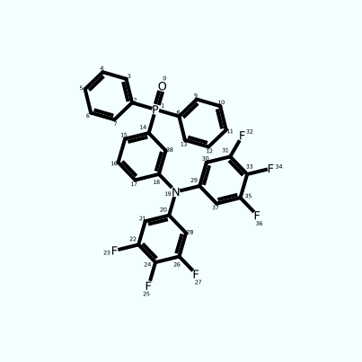 O=P(c1ccccc1)(c1ccccc1)c1cccc(N(c2cc(F)c(F)c(F)c2)c2cc(F)c(F)c(F)c2)c1